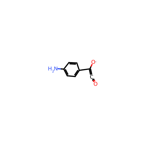 Nc1ccc(C([O])=C=O)cc1